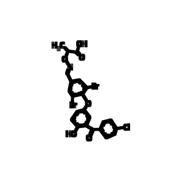 CC(ON=Cc1cc(Br)c(Oc2ccc(O)c(C(=O)c3ccc(Cl)cc3)c2)c(Br)c1)C(=O)O